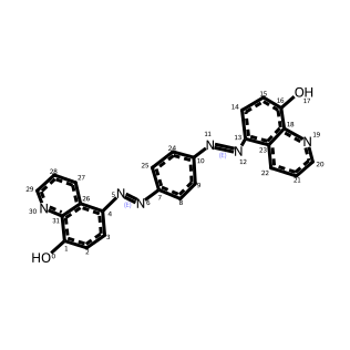 Oc1ccc(/N=N/c2ccc(/N=N/c3ccc(O)c4ncccc34)cc2)c2cccnc12